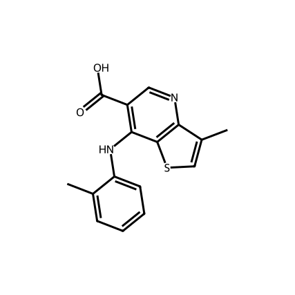 Cc1ccccc1Nc1c(C(=O)O)cnc2c(C)csc12